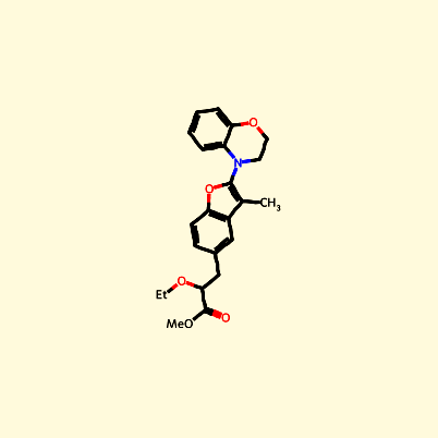 CCOC(Cc1ccc2oc(N3CCOc4ccccc43)c(C)c2c1)C(=O)OC